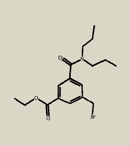 CCCN(CCC)C(=O)c1cc(CBr)cc(C(=O)OCC)c1